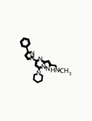 CNCc1cc2nc(-n3ccc(-c4ccccc4)n3)cc(N3CCCCC3)n2n1